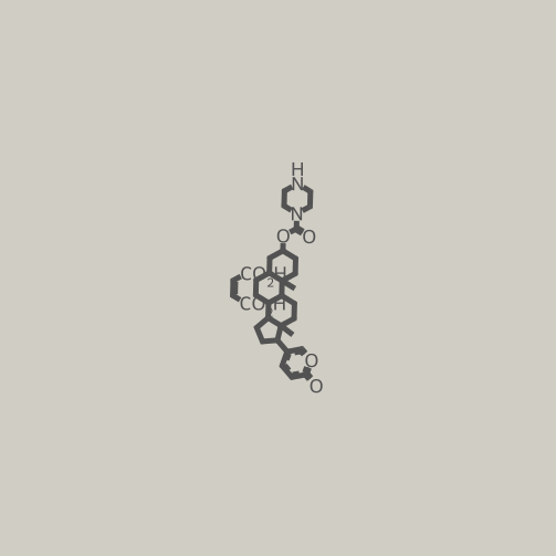 CC12CCC(OC(=O)N3CCNCC3)CC1CCC1C2CCC2(C)C(c3ccc(=O)oc3)CCC12.O=C(O)/C=C\C(=O)O